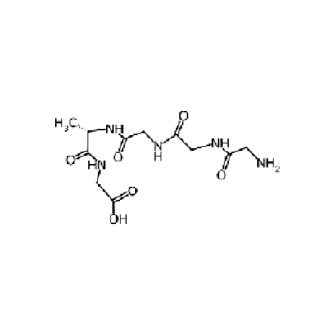 C[C@H](NC(=O)CNC(=O)CNC(=O)CN)C(=O)NCC(=O)O